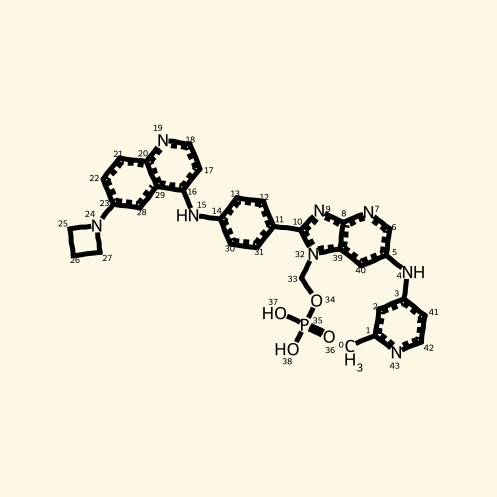 Cc1cc(Nc2cnc3nc(-c4ccc(Nc5ccnc6ccc(N7CCC7)cc56)cc4)n(COP(=O)(O)O)c3c2)ccn1